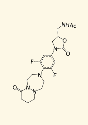 CC(=O)NC[C@H]1CN(c2cc(F)c(N3CCN4CCCC(=O)N4CC3)c(F)c2)C(=O)O1